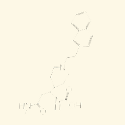 CNC(=O)CC(NC(=O)O)C1CCN(CCc2ccc3ccccc3c2)CC1